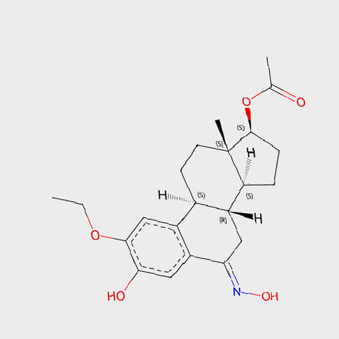 CCOc1cc2c(cc1O)C(=NO)C[C@@H]1[C@@H]2CC[C@]2(C)[C@@H](OC(C)=O)CC[C@@H]12